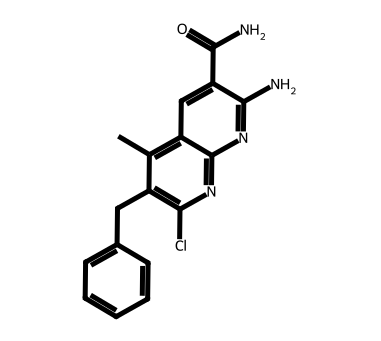 Cc1c(Cc2ccccc2)c(Cl)nc2nc(N)c(C(N)=O)cc12